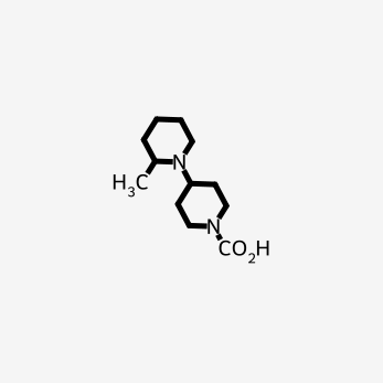 CC1CCCCN1C1CCN(C(=O)O)CC1